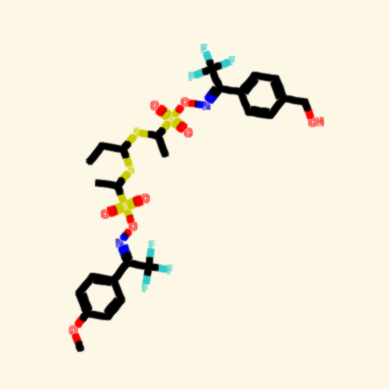 CCC(SC(C)S(=O)(=O)ON=C(c1ccc(CO)cc1)C(F)(F)F)SC(C)S(=O)(=O)ON=C(c1ccc(OC)cc1)C(F)(F)F